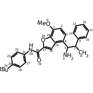 COc1ccc(C(N)C(C)c2ccccc2)c2cc(C(=O)Nc3ccc(C(C)(C)C)cc3)oc12